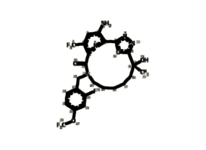 Nc1cc(C(F)(F)F)c2nc1-c1nnc(o1)[C@@](O)(C(F)(F)F)CCCCCN(Cc1ccc(OC(F)(F)F)cc1F)C2=O